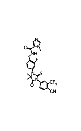 Cn1cncc1C(=O)NCc1ccc(N2C(=S)N(c3ccc(C#N)c(C(F)(F)F)c3)C(=O)C2(C)C)cc1F